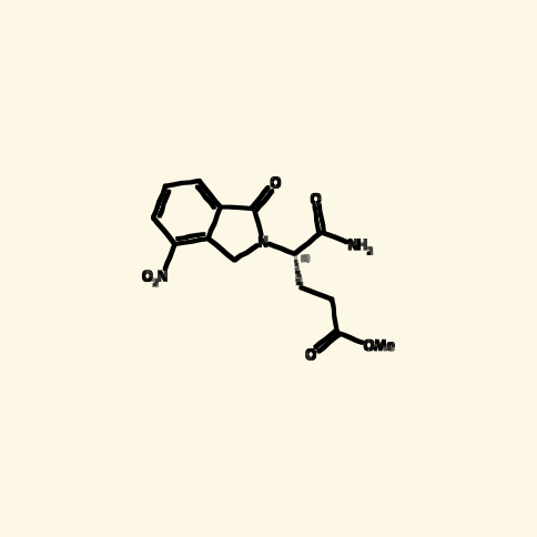 COC(=O)CC[C@@H](C(N)=O)N1Cc2c(cccc2[N+](=O)[O-])C1=O